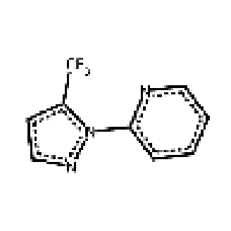 FC(F)(F)c1[c]cnn1-c1ccccn1